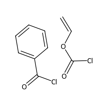 C=COC(=O)Cl.O=C(Cl)c1ccccc1